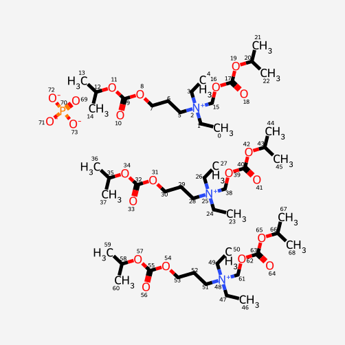 CC[N+](CC)(CCCOC(=O)OC(C)C)COC(=O)OC(C)C.CC[N+](CC)(CCCOC(=O)OC(C)C)COC(=O)OC(C)C.CC[N+](CC)(CCCOC(=O)OC(C)C)COC(=O)OC(C)C.O=P([O-])([O-])[O-]